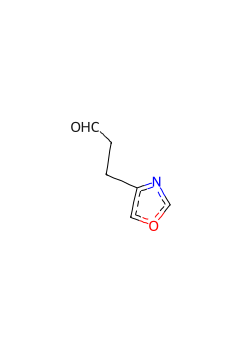 O=CCCc1cocn1